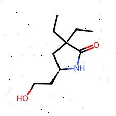 CCC1(CC)C[C@H](CCO)NC1=O